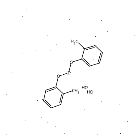 Cc1ccccc1[O][Zr][O]c1ccccc1C.Cl.Cl